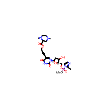 COP(=O)(OC[C@H]1O[C@@H](n2cc(C#CCOC(=O)C3CN(C)CCN3C)c(=O)[nH]c2=O)CC1O)n1ccnc1C